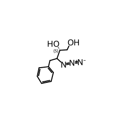 [N-]=[N+]=NC(Cc1ccccc1)[C@H](O)CO